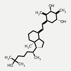 C=C1/C(=C/C=C2CCC[C@@]3(C)C2CC[C@@H]3[C@@H](C)CCCC(C)(C)O)C[C@@H](O)C(=C)[C@@H]1O